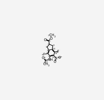 COC(=O)C1Cc2c(F)c(NC(C)=O)c([N+](=O)[O-])c(F)c2C1